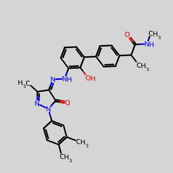 CNC(=O)C(C)c1ccc(-c2cccc(NN=C3C(=O)N(c4ccc(C)c(C)c4)N=C3C)c2O)cc1